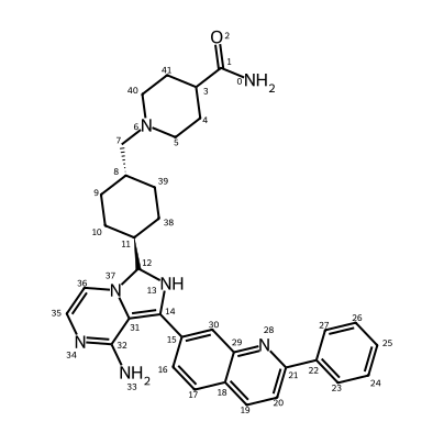 NC(=O)C1CCN(C[C@H]2CC[C@H](C3NC(c4ccc5ccc(-c6ccccc6)nc5c4)=C4C(N)=NC=CN43)CC2)CC1